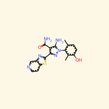 Cc1ccc(O)c(C)c1-n1nc(-c2nc3cnccc3s2)c(C(N)=O)c1N